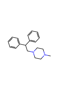 CN1CCN(CC(c2ccccc2)c2ccccc2)CC1